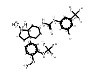 COc1ccc([C@@]23CC[C@@H](NC(=O)Nc4cc(F)cc(C(F)(F)F)c4)C[C@@H]2N(C)CC3)cc1OC(F)(F)F